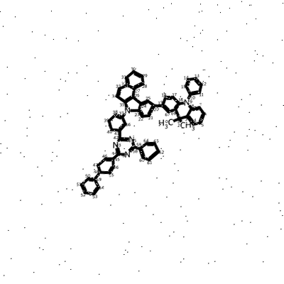 CC1(C)c2ccccc2N(c2ccccc2)c2ccc(-c3ccc4c(c3)c3c5ccccc5ccc3n4C3=CCCC(c4nc(C5=CCC(c6ccccc6)C=C5)nc(-c5ccccc5)n4)=C3)cc21